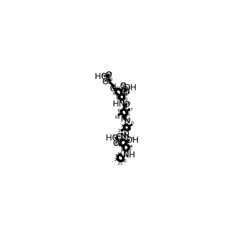 Cc1cc(N=Nc2c(S(=O)(=O)O)cc3cc(Nc4ccccc4)ccc3c2O)c(C)cc1N=Nc1cc(C)c(C(=O)Nc2ccc3c(S(=O)(=O)O)cc(OCCCS(=O)(=O)O)cc3c2)cc1C